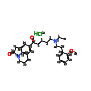 CCN(CCCCC(=O)c1cc2c3c(c1)CC(=O)N3CCC2)CCc1ccccc1OC.Cl